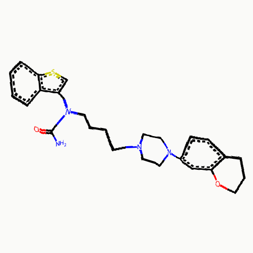 NC(=O)N(CCCCN1CCN(c2ccc3c(c2)OCCC3)CC1)c1csc2ccccc12